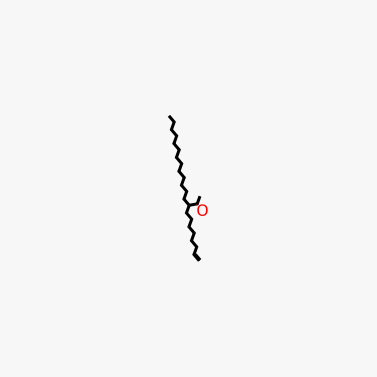 C=CCCCCCCC(CCCCCCCCCCCCC)C(C)=O